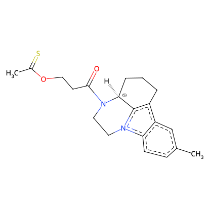 CC(=S)OCCC(=O)N1CCn2c3c(c4cc(C)ccc42)CCC[C@@H]31